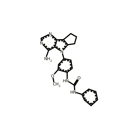 COc1cc(-n2c3c(c4ncnc(N)c42)CCC3)ccc1NC(=O)Nc1ccccc1